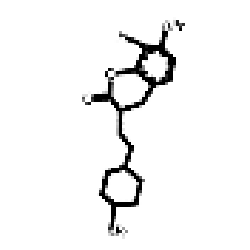 CCCc1ccc2c(c1F)OC(=O)C(CCC1CCC(CCC)CC1)C2